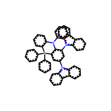 c1ccc(N2c3ccccc3[Si](c3ccccc3)(c3ccccc3)c3cc(-n4c5ccccc5c5ccccc54)cc(-n4c5ccccc5c5ccccc54)c32)cc1